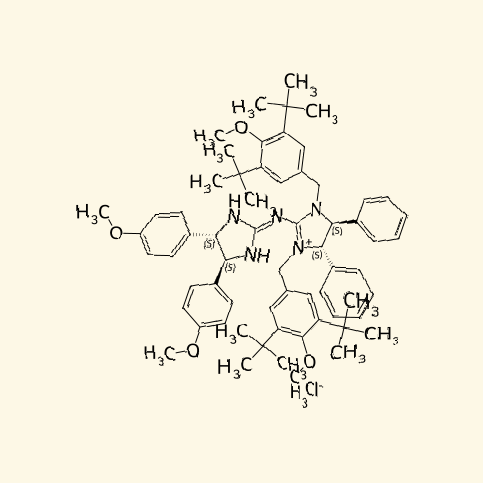 COc1ccc([C@@H]2NC(=NC3=[N+](Cc4cc(C(C)(C)C)c(OC)c(C(C)(C)C)c4)[C@@H](c4ccccc4)[C@H](c4ccccc4)N3Cc3cc(C(C)(C)C)c(OC)c(C(C)(C)C)c3)N[C@H]2c2ccc(OC)cc2)cc1.[Cl-]